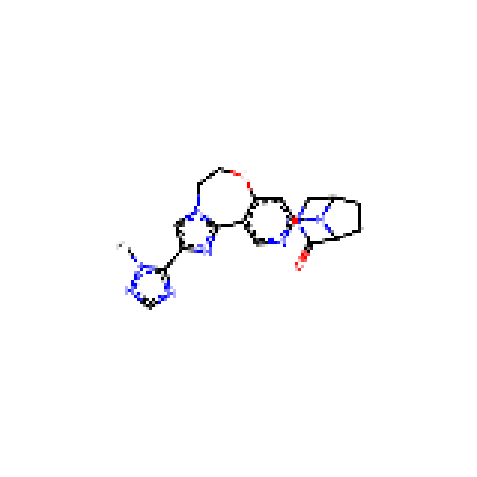 CC(C)n1ncnc1-c1cn2c(n1)-c1cnc(N3C4CCC3C(=O)NC4)cc1OCC2